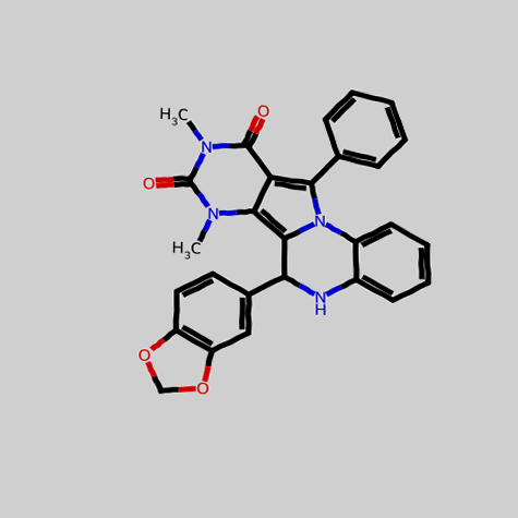 Cn1c(=O)c2c(-c3ccccc3)n3c(c2n(C)c1=O)C(c1ccc2c(c1)OCO2)Nc1ccccc1-3